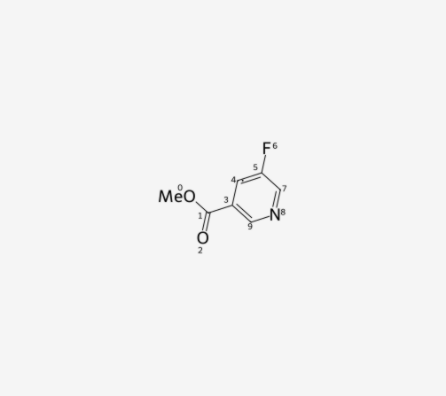 COC(=O)c1[c]c(F)cnc1